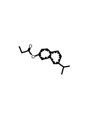 CCC(=O)Oc1ccc2ccc(C(C)C)cc2c1